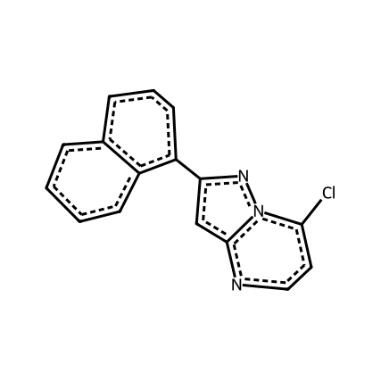 Clc1ccnc2cc(-c3cccc4ccccc34)nn12